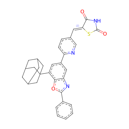 O=C1NC(=O)/C(=C/c2ccc(-c3cc(C45CC6CC(CC(C6)C4)C5)c4oc(-c5ccccc5)nc4c3)nc2)S1